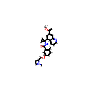 C=C(OCC)c1cc(C2(NC(=O)c3cc(OCC4CCN4C)ccc3C)CC2)c2cccnc2c1